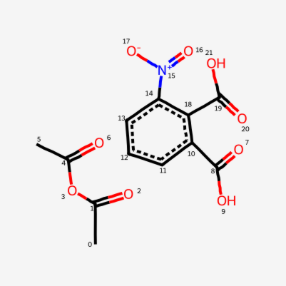 CC(=O)OC(C)=O.O=C(O)c1cccc([N+](=O)[O-])c1C(=O)O